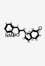 CNc1ccccc1CC(O)Cn1ccc2ccc(Cl)cc21